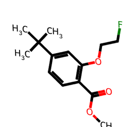 COC(=O)c1ccc(C(C)(C)C)cc1OCCF